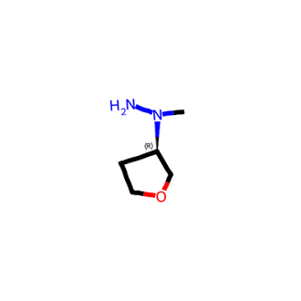 CN(N)[C@@H]1CCOC1